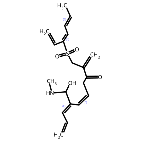 C=C/C=C(\C=C/CC(=O)C(=C)CS(=O)(=O)/C(C=C)=C/C=C/C)C(O)NC